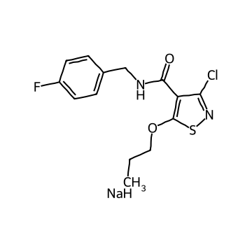 CCCOc1snc(Cl)c1C(=O)NCc1ccc(F)cc1.[NaH]